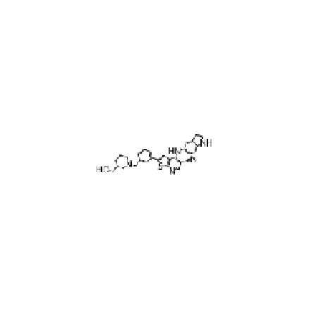 N#Cc1cnc2sc(-c3cccc(CN4CCCC(CO)C4)c3)cc2c1Nc1ccc2[nH]ccc2c1